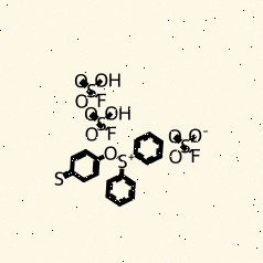 O=S(=O)(O)F.O=S(=O)(O)F.O=S(=O)([O-])F.S=C1C=CC(O[S+](c2ccccc2)c2ccccc2)=CC1